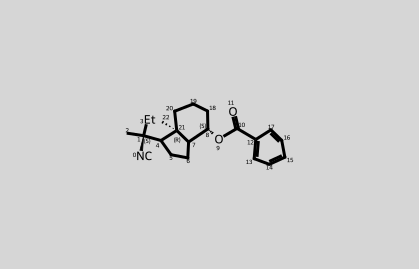 [C-]#[N+][C@@](C)(CC)C1CCC2[C@@H](OC(=O)c3ccccc3)CCC[C@@]21C